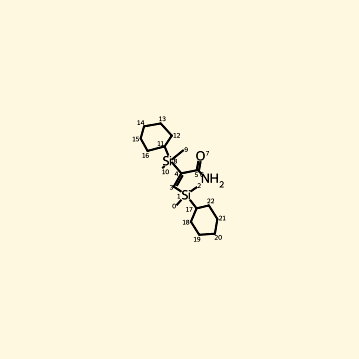 C[Si](C)(C=C(C(N)=O)[Si](C)(C)C1CCCCC1)C1CCCCC1